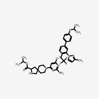 Cc1ccn(-c2cc(-c3ccc(OC(C)C)cc3)ccc2[C@@H](Oc2cc(N3CCC4(CC3)CNC(C(=O)OC(C)C)C4)nc(N)n2)C(F)(F)F)n1